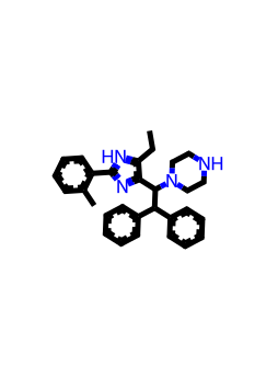 CCc1[nH]c(-c2ccccc2C)nc1C(C(c1ccccc1)c1ccccc1)N1CCNCC1